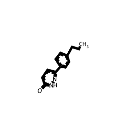 CCCc1ccc(-c2ccc(=O)[nH]n2)cc1